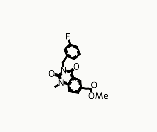 COC(=O)c1ccc2c(c1)c(=O)n(Cc1cccc(F)c1)c(=O)n2C